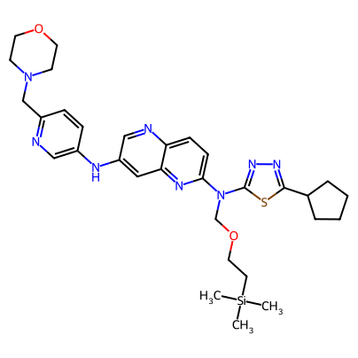 C[Si](C)(C)CCOCN(c1ccc2ncc(Nc3ccc(CN4CCOCC4)nc3)cc2n1)c1nnc(C2CCCC2)s1